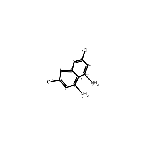 Nc1cc(Cl)cc2cc(Cl)cc(N)c12